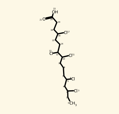 CCC(Cl)CC(Cl)CCCC(Cl)C(Cl)CCC(Cl)CCC(=O)O